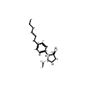 CCCCCCc1ccc(N2C(=O)CC[C@@H]2CC)cc1